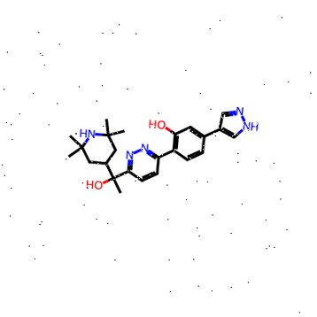 CC1(C)CC(C(C)(O)c2ccc(-c3ccc(-c4cn[nH]c4)cc3O)nn2)CC(C)(C)N1